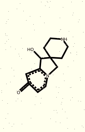 O=c1ccn2c(c1)C(O)C1(CCNCC1)C2